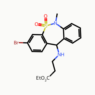 CCOC(=O)CCNC1c2ccccc2N(C)S(=O)(=O)c2cc(Br)ccc21